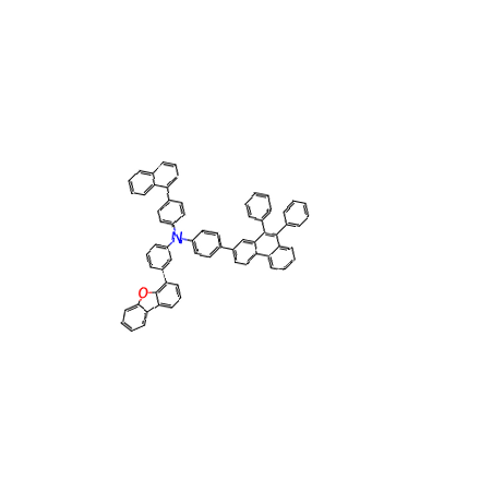 c1ccc(-c2c(-c3ccccc3)c3cc(-c4ccc(N(c5ccc(-c6cccc7ccccc67)cc5)c5cccc(-c6cccc7c6oc6ccccc67)c5)cc4)ccc3c3ccccc23)cc1